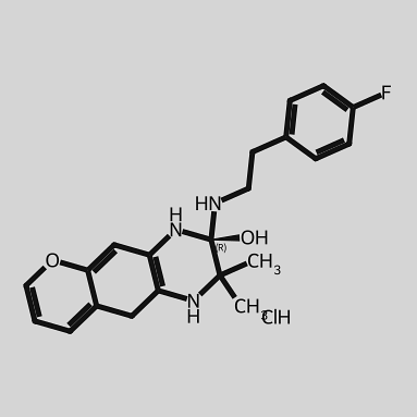 CC1(C)NC2=C(C=C3OC=CC=C3C2)N[C@]1(O)NCCc1ccc(F)cc1.Cl